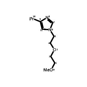 COCCOCCn1cnc(C(C)C)c1